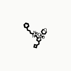 O=S(=O)(C1CCOCC1)N1CC(CC2CCC2)CC1c1nc(CCCc2ccccc2)no1